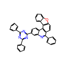 c1ccc(-c2nc(-c3ccccc3)nc(-c3ccc4c(c3)nc(-c3ccccc3)c3ccc5oc6ccccc6c5c34)n2)cc1